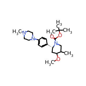 COC1C[C@H](c2ccc(N3CCN(C)CC3)cc2)N(C(=O)OC(C)(C)C)CC1C